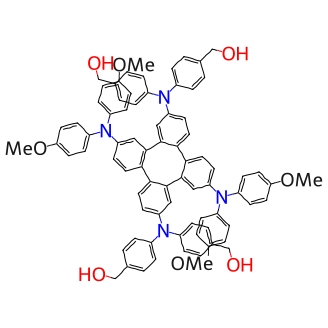 COc1ccc(N(c2ccc(OC)cc2)c2ccc3c(c2)-c2cc(N(c4ccc(CO)cc4)c4ccc(CO)cc4)ccc2-c2ccc(N(c4ccc(OC)cc4)c4ccc(OC)cc4)cc2-c2cc(N(c4ccc(CO)cc4)c4ccc(CO)cc4)ccc2-3)cc1